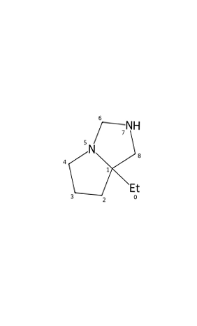 CCC12CCCN1CNC2